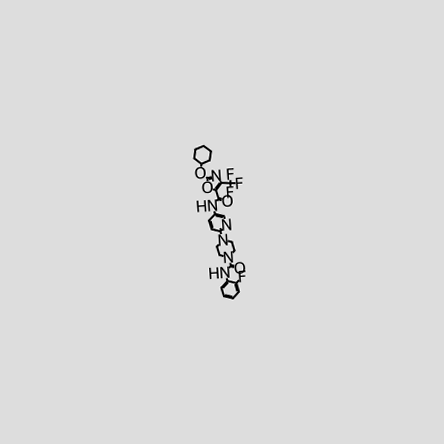 O=C(Nc1ccc(N2CCN(C(=O)Nc3ccccc3F)CC2)nc1)c1oc(OC2CCCCC2)nc1C(F)(F)F